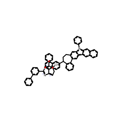 CC1C/C=C(c2cccc3cc(C4CCc5cc6c(cc5-c5ccccc54)c4cc5ccccc5cc4n6-c4ccccc4)ccc23)/N=C(c2cccc(-c3ccccc3)c2)\N=C/1c1ccccc1